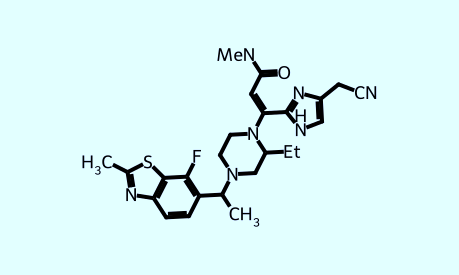 CCC1CN(C(C)c2ccc3nc(C)sc3c2F)CCN1/C(=C/C(=O)NC)c1nc(CC#N)c[nH]1